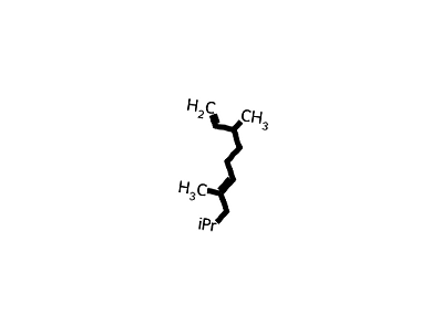 C=C[C](C)CC/C=C(\C)CC(C)C